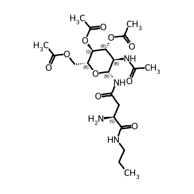 CCCNC(=O)[C@@H](N)CC(=O)N[C@@H]1O[C@H](COC(C)=O)[C@@H](OC(C)=O)[C@H](OC(C)=O)[C@H]1NC(C)=O